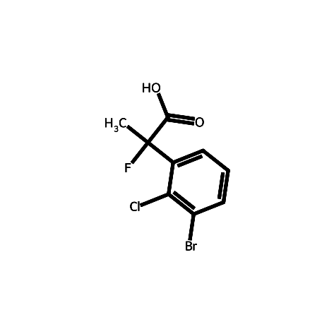 CC(F)(C(=O)O)c1cccc(Br)c1Cl